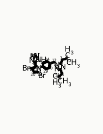 CC(C)Cc1nc(CC(C)C)n(Cc2ccc(-n3c(Br)cc(Br)c3-c3nnn[nH]3)cc2)n1